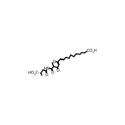 C[C@@H](CC(=O)NC(=O)C1COC(/C=C/CCCCCCCCC(=O)O)=CC1=O)C(=O)O